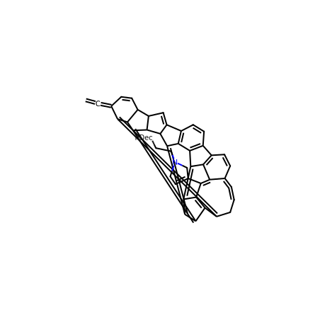 C=C=C1C=CC2C3C1=C1CC=C=c4ccc5c6ccc7c8c9c%10c(c1c1c(C%11=CCN(CCCCCCCCCCCC)C%11)c4c5c(c1%10)c86)=C3C1C9C7=CC21